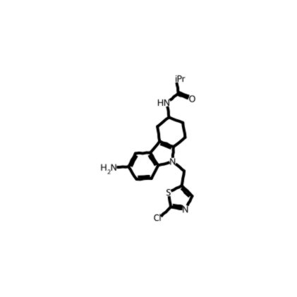 CC(C)C(=O)NC1CCc2c(c3cc(N)ccc3n2Cc2cnc(Cl)s2)C1